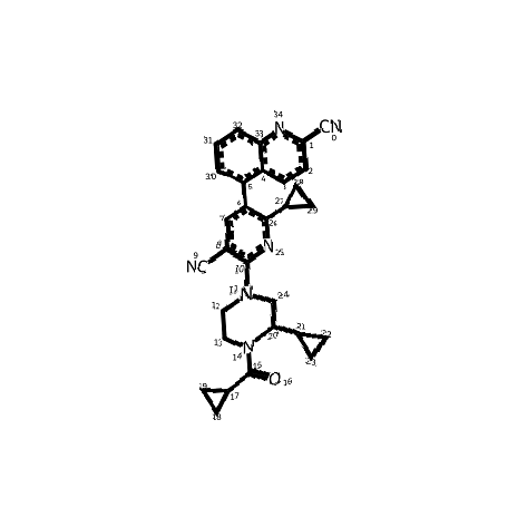 N#Cc1ccc2c(-c3cc(C#N)c(N4CCN(C(=O)C5CC5)C(C5CC5)C4)nc3C3CC3)cccc2n1